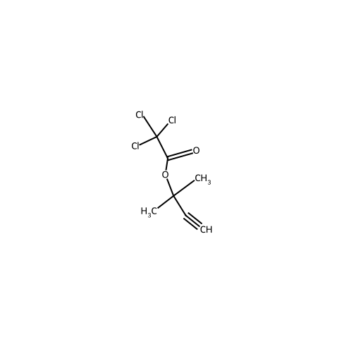 C#CC(C)(C)OC(=O)C(Cl)(Cl)Cl